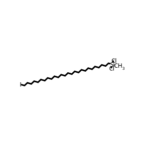 C[Si](Cl)(Cl)CCCCCCCCCCCCCCCCCCCCCCCCCCI